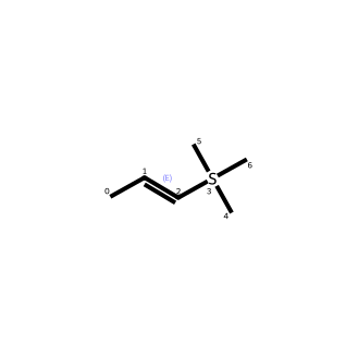 C/C=C/S(C)(C)C